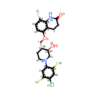 O=C1CCc2c(OC[C@H]3CCN(c4cc(F)c(Cl)cc4F)C[C@@H]3O)ccc(F)c2N1